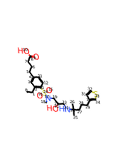 CCc1cc(CCCC(=O)O)ccc1S(=O)(=O)N(C)C[C@H](O)CNC(C)(C)CCCc1ccsc1